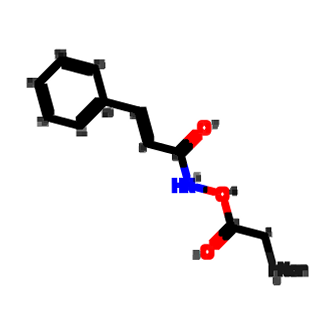 CCCCCCCCCCC(=O)ONC(=O)C=Cc1ccccc1